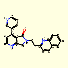 O=C1c2c(-c3cccnc3)ccnc2CN1CCc1ccc2ccccc2n1